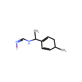 CC1C=CC(C(C)N/C=N\I)=CC1